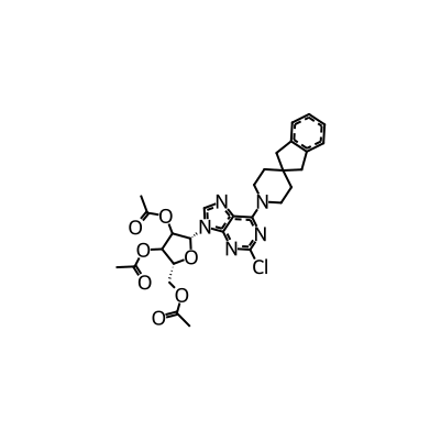 CC(=O)OC[C@H]1O[C@@H](n2cnc3c(N4CCC5(CC4)Cc4ccccc4C5)nc(Cl)nc32)C(OC(C)=O)C1OC(C)=O